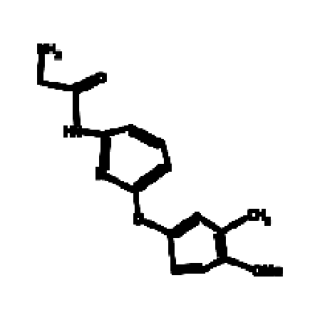 COc1ccc(Oc2cccc(NC(=O)CN)n2)cc1C